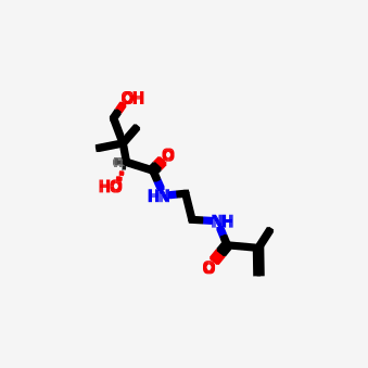 C=C(C)C(=O)NCCNC(=O)[C@H](O)C(C)(C)CO